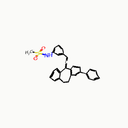 CS(=O)(=O)Nc1cccc(C=C=C2c3ccccc3CCc3cc(-c4ccccc4)ccc32)c1